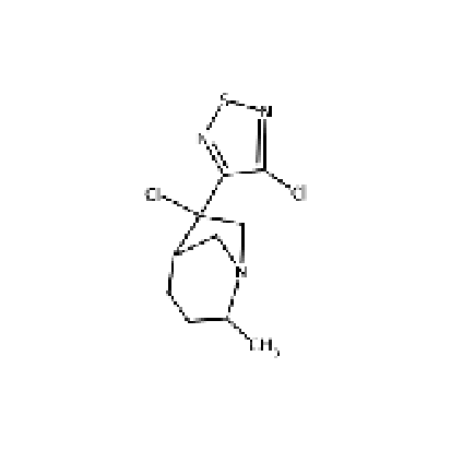 CC1CCC2CN1CC2(Cl)c1nsnc1Cl